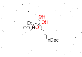 CCCCCCCCCCCCCCCC[C@](O)(CC(CC)C(=O)O)C(O)CO